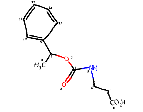 CC(OC(=O)NCCC(=O)O)c1ccccc1